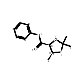 C[C@@H]1OC(C)(C)O[C@@H]1C(=O)Oc1ccccc1